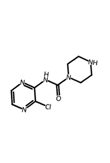 O=C(Nc1nccnc1Cl)N1CCNCC1